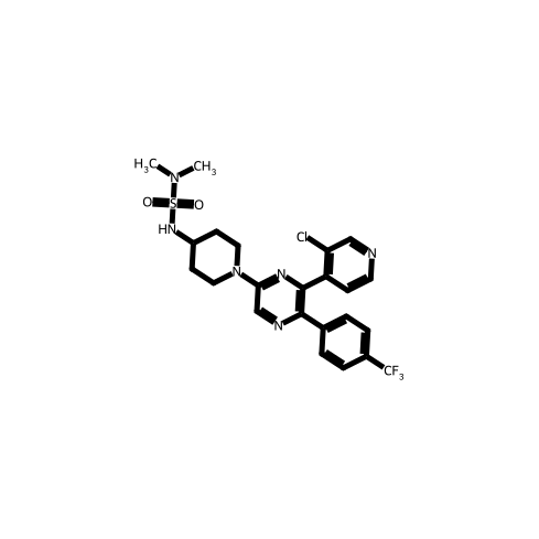 CN(C)S(=O)(=O)NC1CCN(c2cnc(-c3ccc(C(F)(F)F)cc3)c(-c3ccncc3Cl)n2)CC1